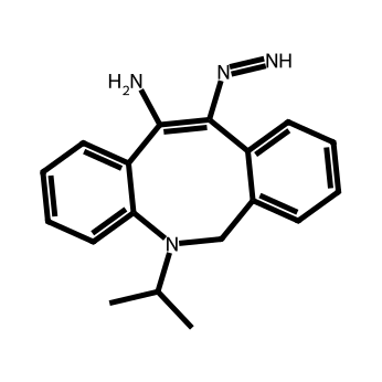 CC(C)N1Cc2ccccc2/C(N=N)=C(/N)c2ccccc21